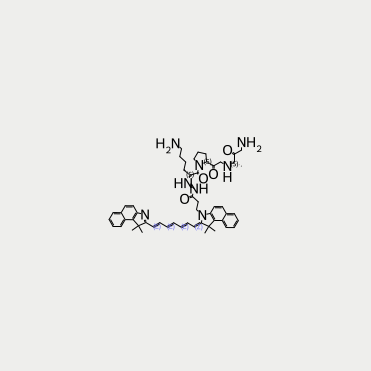 C[C@H](NCC(=O)[C@@H]1CCCN1C(=O)[C@H](CCCCN)NNC(=O)CCN1\C(=C/C=C/C=C/C=C/C2=Nc3ccc4ccccc4c3C2(C)C)C(C)(C)c2c1ccc1ccccc21)C(=O)CN